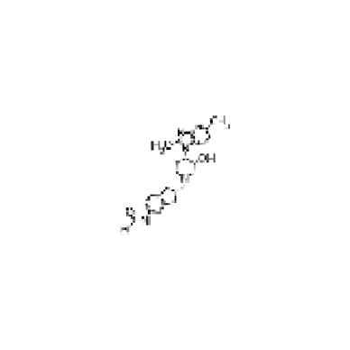 Cc1ccc2c(c1)nc(C)n2[C@@H]1CCN(C[C@H]2Cc3ccc(NC(=O)C(C)C)cc3C2)C[C@H]1O